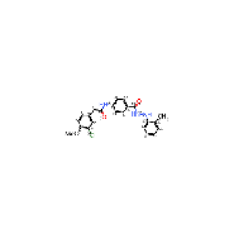 COc1ccc(CC(=O)Nc2ccc(C(=O)NNc3ccccc3C)cc2)cc1Cl